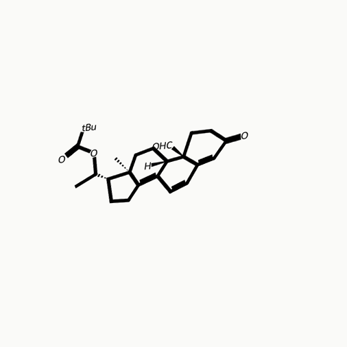 CC(OC(=O)C(C)(C)C)[C@H]1CCC2=C3C=CC4=CC(=O)CC[C@@]4(C=O)[C@H]3CC[C@@]21C